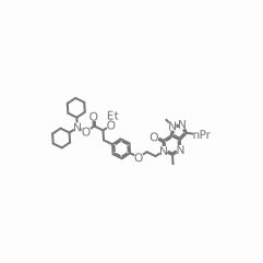 CCCc1nn(C)c2c(=O)n(CCOc3ccc(CC(OCC)C(=O)ON(C4CCCCC4)C4CCCCC4)cc3)c(C)nc12